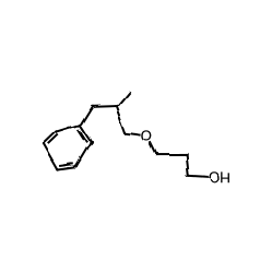 CC(COCCCO)Cc1ccccc1